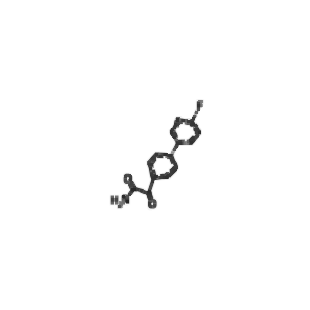 NC(=O)C(=O)c1ccc(-c2ccc(F)cc2)cc1